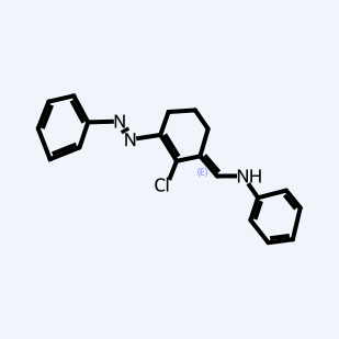 ClC1=C(N=Nc2ccccc2)CCC/C1=C\Nc1ccccc1